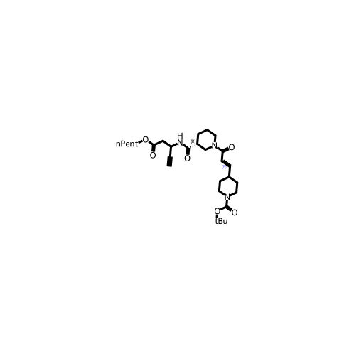 C#CC(CC(=O)OCCCCC)NC(=O)[C@@H]1CCCN(C(=O)/C=C/C2CCN(C(=O)OC(C)(C)C)CC2)C1